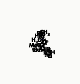 COc1c(-c2cccc(/C(C)=N/NS(C)(=O)=O)c2)cc(-n2ccc(=O)[nH]c2=O)cc1C(C)(C)C